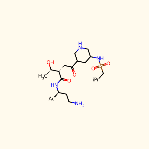 CC(=O)[C@H](CCN)NC(=O)[C@@H](CC(=O)C1CNCC(NS(=O)(=O)CC(C)C)C1)[C@H](C)O